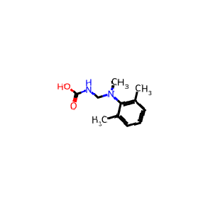 Cc1cccc(C)c1N(C)CNC(=O)O